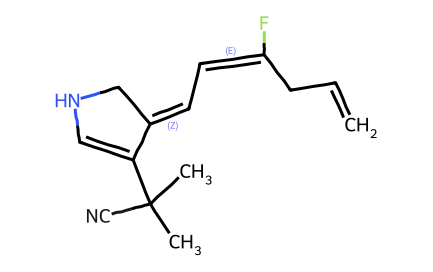 C=CC/C(F)=C\C=C1/CNC=C1C(C)(C)C#N